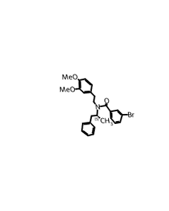 COc1ccc(CCN(C(=O)c2cccc(Br)c2)[C@@H](C)Cc2ccccc2)cc1OC